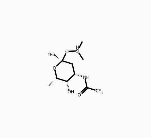 C[C@@H]1O[C@](O[SiH](C)C)(C(C)(C)C)C[C@H](NC(=O)C(F)(F)F)[C@@H]1O